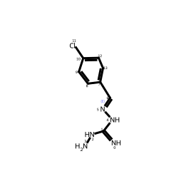 N=C(NN)N/N=C/c1ccc(Cl)cc1